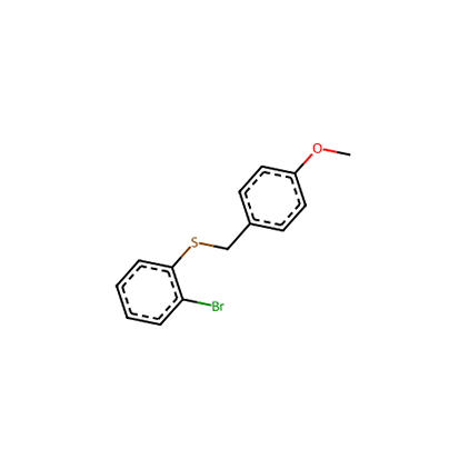 COc1ccc(CSc2ccccc2Br)cc1